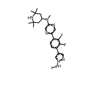 CN(c1cnc(-c2ccc(-c3cnn(PI)c3)c(F)c2F)cn1)C1CC(C)(C)NC(C)(C)C1